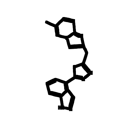 Cc1ccc2nc(Cc3nnc(-c4cccc5[nH]ncc45)s3)cn2c1